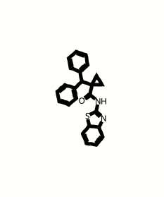 O=C(NC1=NC2C=CC=CC2S1)C1(C(c2ccccc2)c2ccccc2)CC1